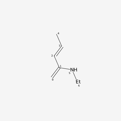 C=C(/C=C/C)NCC